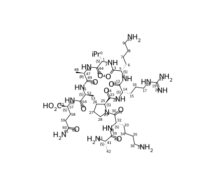 CC(C)[C@H](NC(=O)[C@H](CCCCN)NC(=O)[C@H](CCCNC(=N)N)NC(=O)[C@@H]1CCCN1C(=O)[C@H](CCCCN)NC(=O)[C@H](C)N)C(=O)N[C@H](C)C(=O)N[C@@H](C)C(=O)N[C@@H](CCC(N)=O)C(=O)O